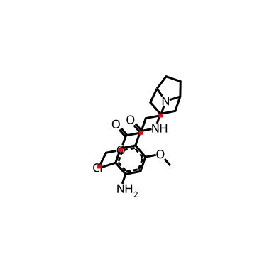 CCOC(=O)CCCN1C2CCC1CC(NC(=O)c1cc(Cl)c(N)cc1OC)C2